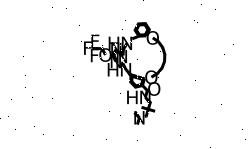 CN(C)CC(C)(C)CNC(=O)c1ccc2cc1OCCCCCCOc1ccccc1CNc1nc(nc(OCC(F)(F)F)n1)N2